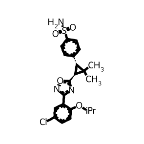 CC(C)Oc1ccc(Cl)cc1-c1noc([C@H]2[C@H](c3ccc(S(N)(=O)=O)cc3)C2(C)C)n1